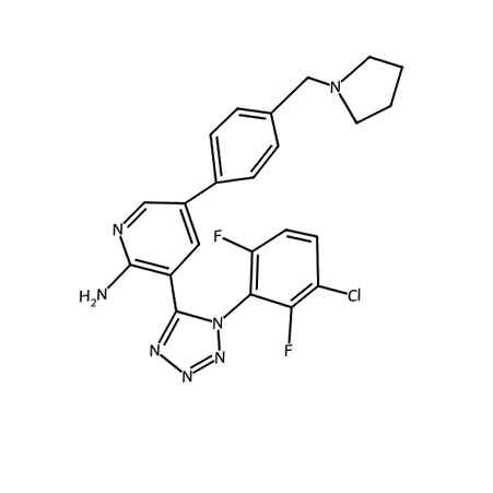 Nc1ncc(-c2ccc(CN3CCCC3)cc2)cc1-c1nnnn1-c1c(F)ccc(Cl)c1F